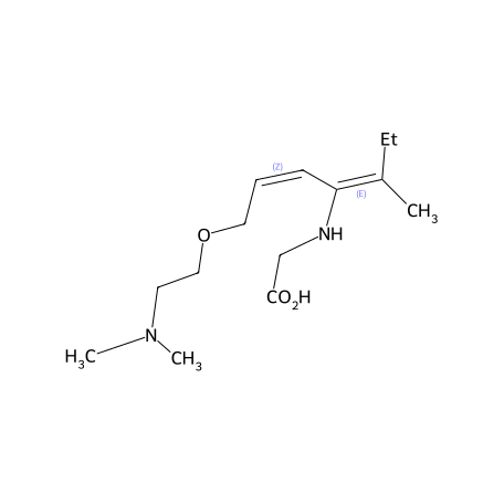 CC/C(C)=C(\C=C/COCCN(C)C)NCC(=O)O